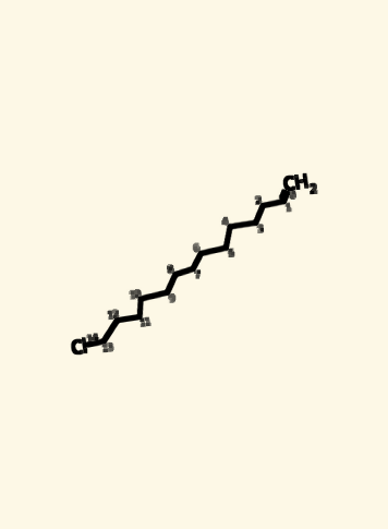 C=CCCCCCCCCCCCCCl